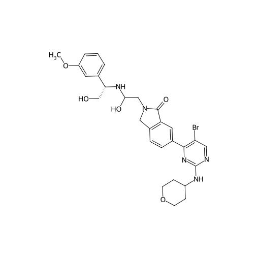 COc1cccc([C@@H](CO)NC(O)CN2Cc3ccc(-c4nc(NC5CCOCC5)ncc4Br)cc3C2=O)c1